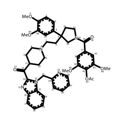 COc1ccc(C2(CCN3CCC(C(=O)c4nc5ccccc5n4Cc4ccccn4)CC3)CCN(C(=O)c3cc(OC)c(OC(C)=O)c(OC)c3)C2)cc1OC